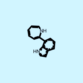 C1=CC=C(c2cccc3cc[nH]c23)NC=C1